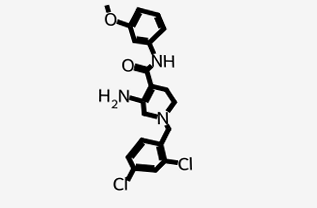 COc1cccc(NC(=O)C2=C(N)CN(Cc3ccc(Cl)cc3Cl)CC2)c1